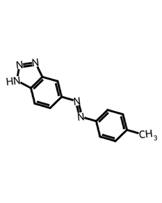 Cc1ccc(/N=N/c2ccc3[nH]nnc3c2)cc1